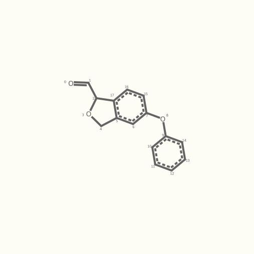 O=CC1OCc2cc(Oc3ccccc3)ccc21